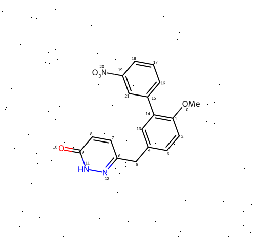 COc1ccc(Cc2ccc(=O)[nH]n2)cc1-c1cccc([N+](=O)[O-])c1